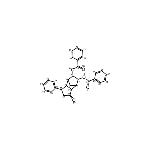 O=C(OC1C2CC(C1OC(=O)c1ccccc1)C1C(c3ccccc3)CC(=O)C21)c1ccccc1